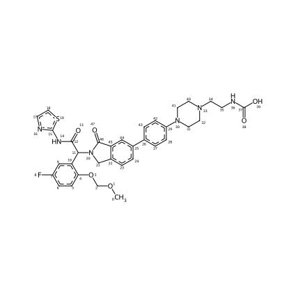 COCOc1ccc(F)cc1C(C(=O)Nc1nccs1)N1Cc2ccc(-c3ccc(N4CCN(CCNC(=O)O)CC4)cc3)cc2C1=O